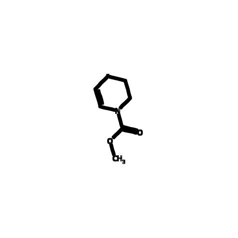 COC(=O)N1C=C[C]CC1